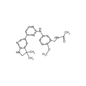 COc1ccc(Nc2nccc(-c3cnc4c(c3)C(C)(C)CN4)n2)cc1CNC(C)=O